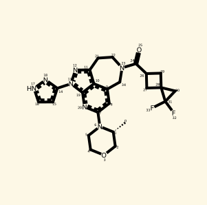 C[C@@H]1COCCN1c1cc2c3c(nn(-c4cc[nH]n4)c3n1)CCN(C(=O)C1CC3(C1)CC3(F)F)C2